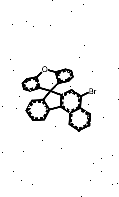 Brc1cc2c(c3ccccc13)-c1ccccc1C21c2ccccc2Oc2ccccc21